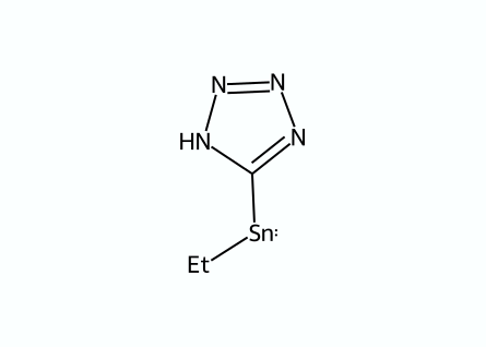 C[CH2][Sn][c]1nnn[nH]1